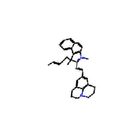 C/C=C/CC1(C)C(/C=C/c2cc3c4c(c2)CCCN4CCC3)=[N+](C)c2ccc3ccccc3c21